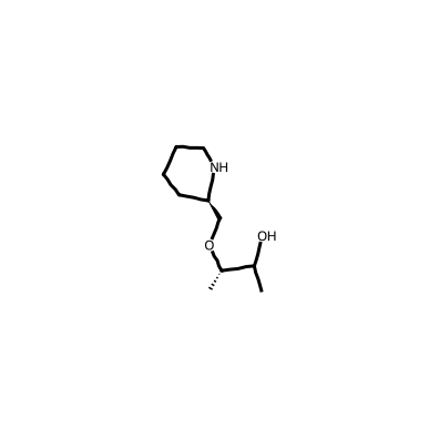 CC(O)[C@H](C)OC[C@H]1CCCCN1